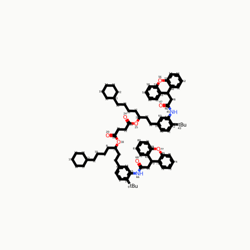 CC(C)(C)c1ccc(CCC(CCCCC2CCCCC2)OC(=O)CCC(=O)OC(CCCCC2CCCCC2)CCc2ccc(C(C)(C)C)c(NC(=O)CC3c4ccccc4Oc4ccccc43)c2)cc1NC(=O)CC1c2ccccc2Oc2ccccc21